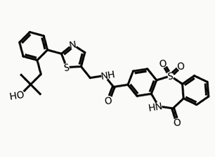 CC(C)(O)Cc1ccccc1-c1ncc(CNC(=O)c2ccc3c(c2)NC(=O)c2ccccc2S3(=O)=O)s1